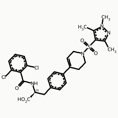 Cc1nn(C)c(C)c1S(=O)(=O)N1CC=C(c2ccc(C[C@H](NC(=O)c3c(Cl)cccc3Cl)C(=O)O)cc2)CC1